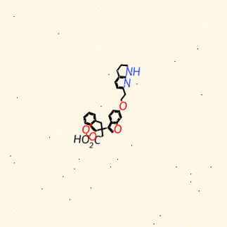 O=C(O)CC(Cc1ccccc1)(C1=COCO1)c1coc2cc(OCCc3ccc4c(n3)NCCC4)ccc12